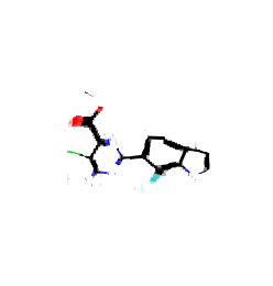 COC(=O)c1nc(-c2ccc3cc[nH]c3c2F)nc(N)c1Cl